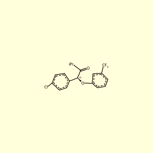 CC(C)C(=O)[C@@H](Oc1cccc(C(F)(F)F)c1)c1ccc(Cl)cc1